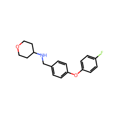 Fc1ccc(Oc2ccc(CNC3CCOCC3)cc2)cc1